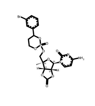 C[C@]1(COP2(=O)OCCC(c3cccc(Br)c3)O2)O[C@@H](n2ccc(N)nc2=O)[C@@H]2OC(=O)O[C@@H]21